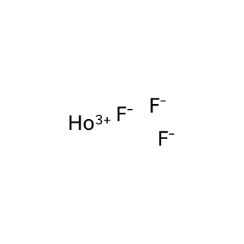 [F-].[F-].[F-].[Ho+3]